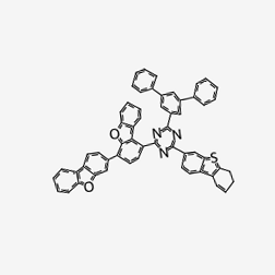 C1=Cc2c(sc3cc(-c4nc(-c5cc(-c6ccccc6)cc(-c6ccccc6)c5)nc(-c5ccc(-c6ccc7c(c6)oc6ccccc67)c6oc7ccccc7c56)n4)ccc23)CC1